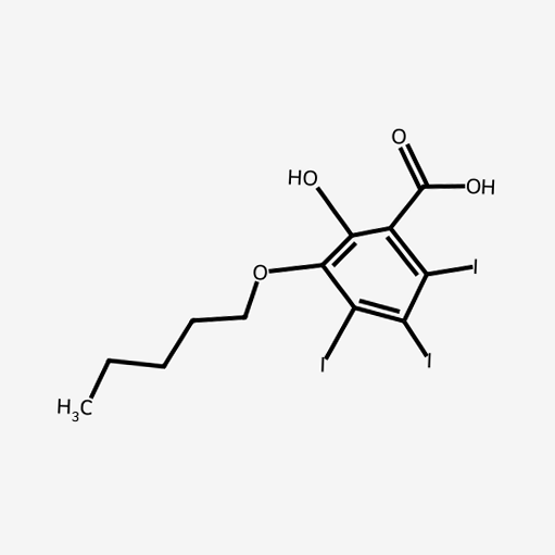 CCCCCOc1c(O)c(C(=O)O)c(I)c(I)c1I